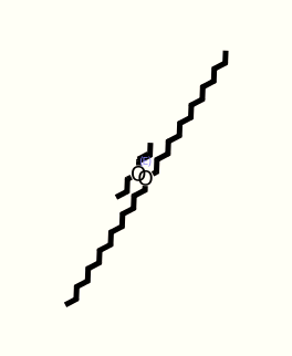 C/C=C/OCCC.CCCCCCCCCCCCCCOCCCCCCCCCCCCCC